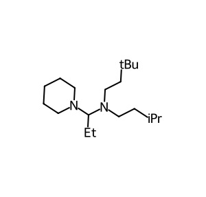 [CH2]CC(N1CCCCC1)N(CCC(C)C)CCC(C)(C)C